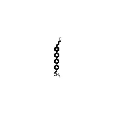 CCC[C@H]1CC[C@H](C2CCC(C3CCC(c4ccc(CCCCF)cc4)CC3)CC2)CC1